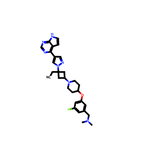 CN(C)Cc1cc(F)cc(OC2CCN(C3CC(CC#N)(n4cc(-c5ncnc6[nH]ccc56)cn4)C3)CC2)c1